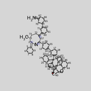 CC1\C=C(c2ccccc2)/N=C(c2ccc(-c3cccc4c3-c3ccccc3C43c4ccccc4C4(c5ccccc5Oc5ccccc54)c4ccccc43)cc2)\C=C(\c2cccc(-c3cccc(N)c3)c2)CC1